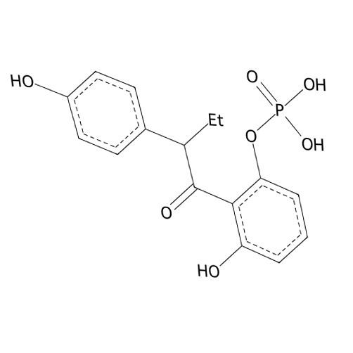 CCC(C(=O)c1c(O)cccc1OP(=O)(O)O)c1ccc(O)cc1